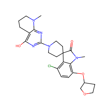 CN1CCCc2c(O)nc(N3CCC4(CC3)C(=O)N(C)c3c(OC5CCOC5)ccc(Cl)c34)nc21